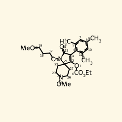 CCOC(=O)OC1=C(c2c(C)cc(C)cc2C)C(=O)N(OCCCOC)C12CCN(OC)CC2